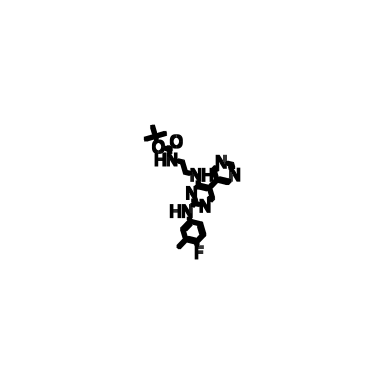 Cc1cc(Nc2ncc(-c3cncnc3)c(NCCNC(=O)OC(C)(C)C)n2)ccc1F